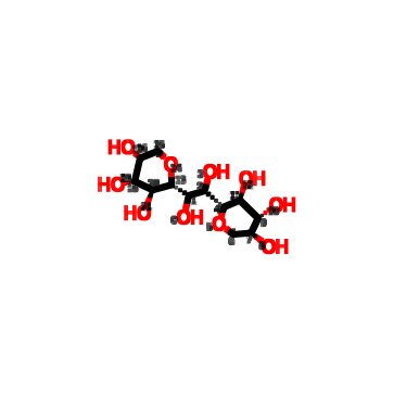 OC(C(O)[C@H]1O[CH][C@H](O)[C@@H](O)[C@@H]1O)[C@H]1O[CH][C@H](O)[C@@H](O)[C@@H]1O